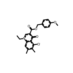 CCn1cc(C(=O)OCc2ccc(OC)cc2)c(=O)c2c(Cl)c(C)c(C)cc21